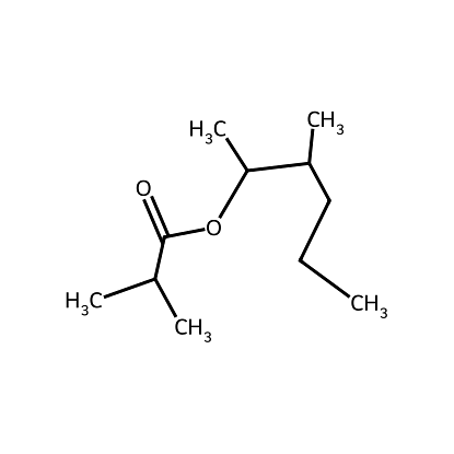 CCCC(C)C(C)OC(=O)C(C)C